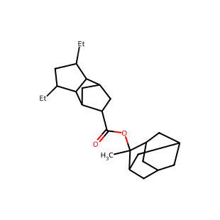 CCC1CC(CC)C2C3CC(CC3C(=O)OC3(C)C4CC5CC(C4)CC3C5)C12